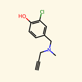 C#CCN(C)Cc1ccc(O)c(Cl)c1